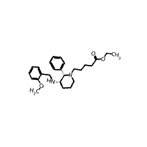 CCOC(=O)CCCCN1CCC[C@H](NCc2ccccc2OC)[C@@H]1c1ccccc1